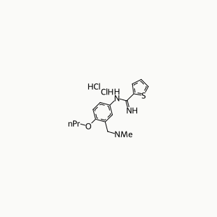 CCCOc1ccc(NC(=N)c2cccs2)cc1CNC.Cl.Cl